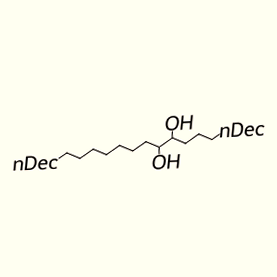 CCCCCCCCCCCCCCCCCC(O)C(O)CCCCCCCCCCCCC